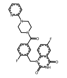 O=C(c1ccc(F)c(Cn2c(=O)[nH]c(=O)c3cc(F)ccc32)c1)N1CCN(c2ccccn2)CC1